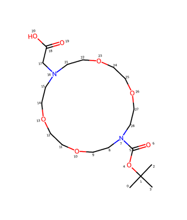 CC(C)(C)OC(=O)N1CCOCCOCCN(CC(=O)O)CCOCCOCC1